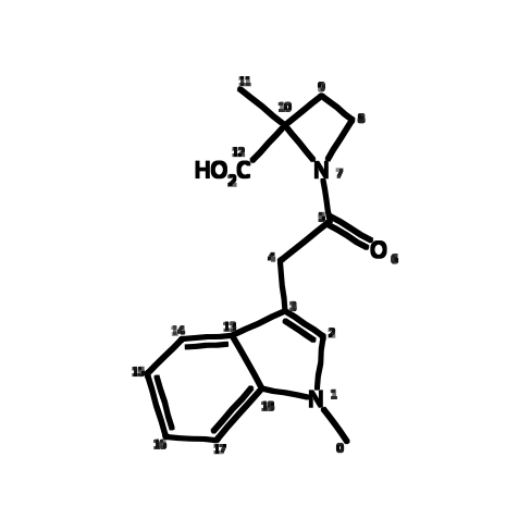 Cn1cc(CC(=O)N2CCC2(C)C(=O)O)c2ccccc21